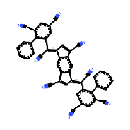 N#CC1=C/C(=C(/C#N)c2cc(C#N)cc(C#N)c2-c2ccccc2)c2cc3c(cc21)/C(=C(\C#N)c1cc(C#N)cc(C#N)c1-c1ccccc1)C=C3C#N